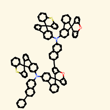 c1ccc(-c2ccc3cc(N(c4ccc5c(c4)-c4ccccc4C54c5ccccc5Oc5cc(-c6ccc7cc(N(c8ccc9c(c8)-c8ccccc8C98c9ccccc9Oc9ccccc98)c8ccc9c(c8)C8(c%10ccccc%10Sc%10ccccc%108)c8ccccc8-9)ccc7c6)ccc54)c4ccc5c(c4)C4(c6ccccc6Sc6ccccc64)c4ccccc4-5)ccc3c2)cc1